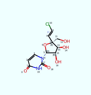 O=c1ccn([C@@H]2O[C@](/C=C/Cl)(CO)[C@@H](O)[C@H]2O)c(=O)[nH]1